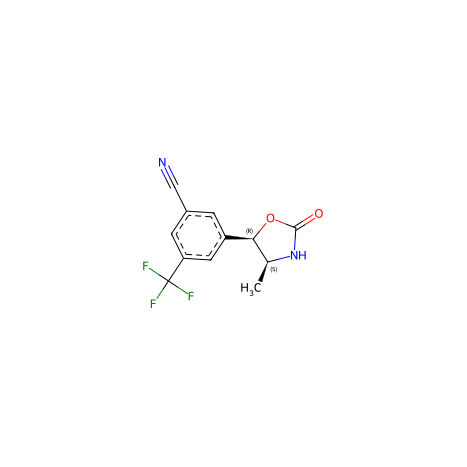 C[C@@H]1NC(=O)O[C@@H]1c1cc(C#N)cc(C(F)(F)F)c1